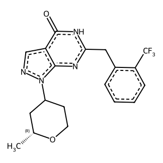 C[C@@H]1CC(n2ncc3c(=O)[nH]c(Cc4ccccc4C(F)(F)F)nc32)CCO1